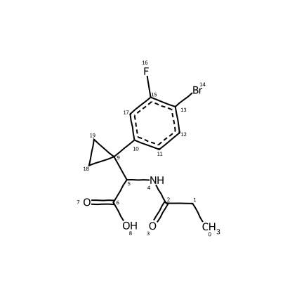 CCC(=O)NC(C(=O)O)C1(c2ccc(Br)c(F)c2)CC1